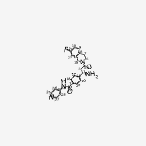 N[C@@H](CC(=O)N1CCc2ccc(F)cc2C1)c1ccc(C(=O)Nc2ccncc2)cc1